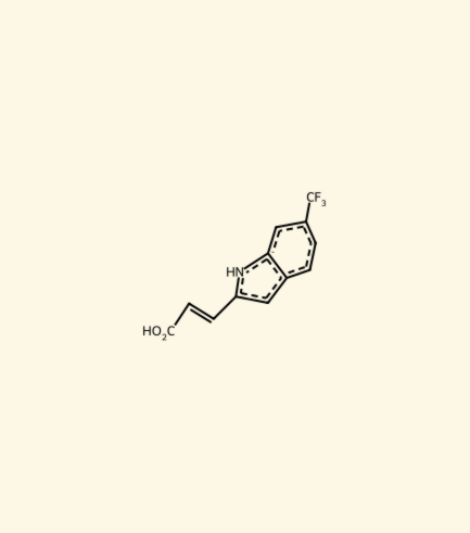 O=C(O)C=Cc1cc2ccc(C(F)(F)F)cc2[nH]1